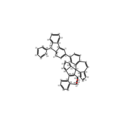 C1=Cc2ccc(-c3cnc4c(c3)c3ccccc3n4-c3ccccn3)cc2C2(c3ccccc31)c1ccccc1-c1c2c2ccccc2c2ccccc12